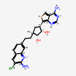 C[C@]1(CCc2ccc3cc(Br)c(N)nc3c2)C[C@@H](c2scc3c(N)ncnc23)[C@H](O)[C@@H]1O